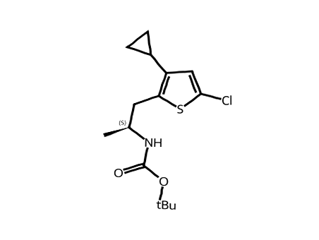 C[C@@H](Cc1sc(Cl)cc1C1CC1)NC(=O)OC(C)(C)C